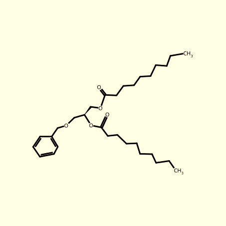 CCCCCCCCCC(=O)OC[C@H](COCc1ccccc1)OC(=O)CCCCCCCCC